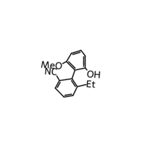 CCc1cccc(C#N)c1-c1c(O)cccc1OC